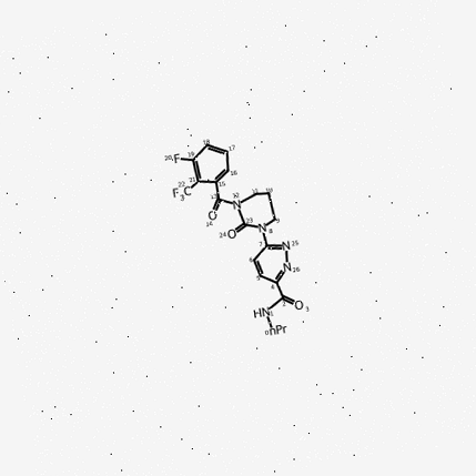 CCCNC(=O)c1ccc(N2CCCN(C(=O)c3cccc(F)c3C(F)(F)F)C2=O)nn1